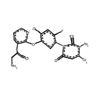 NCC(=O)c1cccnc1Oc1cc(-n2c(=O)cc(C(F)(F)F)n(N)c2=O)c(F)cc1Cl